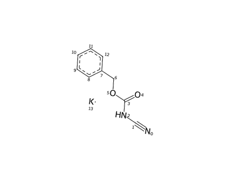 N#CNC(=O)OCc1ccccc1.[K]